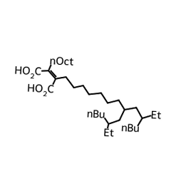 CCCCCCCCC(C(=O)O)=C(CCCCCCCC(CC(CC)CCCC)CC(CC)CCCC)C(=O)O